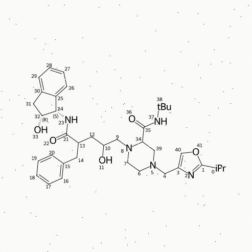 CC(C)c1nc(CN2CCN(CC(O)CC(Cc3ccccc3)C(=O)N[C@H]3c4ccccc4C[C@H]3O)C(C(=O)NC(C)(C)C)C2)co1